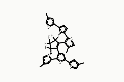 Cc1csc(-c2ccc(-c3scc(C)c3C3=C(c4cc(-c5cc(C)cs5)sc4-c4cc(C)cs4)C(F)(F)C(F)(F)C3(F)F)s2)c1